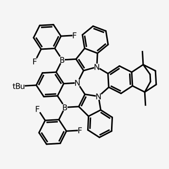 CC(C)(C)c1cc2c3c(c1)B(c1c(F)cccc1F)c1c4ccccc4n4c5cc6c(cc5n5c7ccccc7c(c5n-3c14)B2c1c(F)cccc1F)C1(C)CCC6(C)CC1